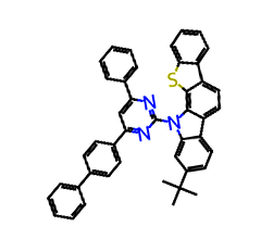 CC(C)(C)c1ccc2c3ccc4c5ccccc5sc4c3n(-c3nc(-c4ccccc4)cc(-c4ccc(-c5ccccc5)cc4)n3)c2c1